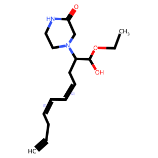 C#CC/C=C\C=C/CC(C(O)OCC)N1CCNC(=O)C1